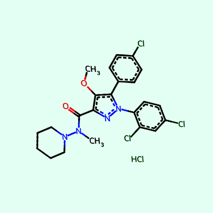 COc1c(C(=O)N(C)N2CCCCC2)nn(-c2ccc(Cl)cc2Cl)c1-c1ccc(Cl)cc1.Cl